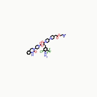 CN(C)CCOC(=O)CC1CCN(C2CCN(C(=O)[C@@H](Cc3cc(Cl)c(N)c(C(F)(F)F)c3)OC(=O)N3CCC(N4CCc5ccccc5NC4=O)CC3)CC2)CC1